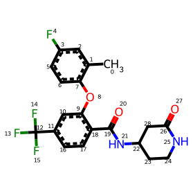 Cc1cc(F)ccc1Oc1cc(C(F)(F)F)ccc1C(=O)NC1CCNC(=O)C1